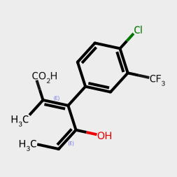 C/C=C(O)\C(=C(/C)C(=O)O)c1ccc(Cl)c(C(F)(F)F)c1